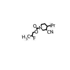 CC(F)COC(=O)N1CCC(C(C)C)C(C#N)C1